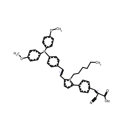 CCCCCCn1c(/C=C/c2ccc(N(c3ccc(OC)cc3)c3ccc(OC)cc3)cc2)ccc1-c1ccc(/C=C(\C#N)C(=O)O)cc1